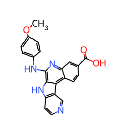 COc1ccc(Nc2nc3cc(C(=O)O)ccc3c3c2[nH]c2ccncc23)cc1